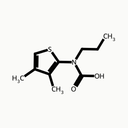 CCCN(C(=O)O)c1scc(C)c1C